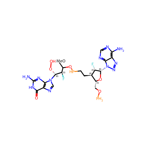 COC(OPCC[C@H]1[C@H](F)[C@H](n2nnc3c(N)ncnc32)O[C@@H]1COP)[C@@H](F)[C@@H](OO)n1cnc2c(=O)[nH]c(N)nc21